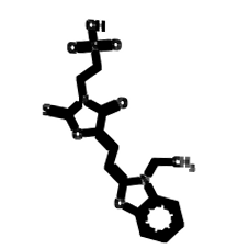 CCN1C(=CC=C2OC(=S)N(CCS(=O)(=O)O)C2=O)Oc2ccccc21